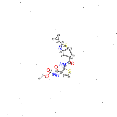 CCOC(=O)NC(=O)c1ccsc1NC(=O)c1ccc2sc(C3CC3)nc2c1